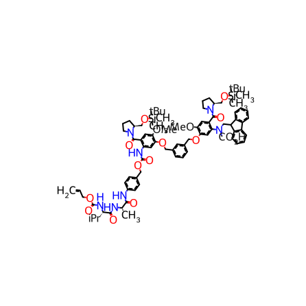 C=CCOC(=O)N[C@H](C(=O)N[C@@H](C)C(=O)Nc1ccc(COC(=O)Nc2cc(OCc3cccc(COc4cc(N(CC5c6ccccc6-c6ccccc65)C(=O)O)c(C(=O)N5CCC[C@H]5CO[Si](C)(C)C(C)(C)C)cc4OC)c3)c(OC)cc2C(=O)N2CCC[C@H]2CO[Si](C)(C)C(C)(C)C)cc1)C(C)C